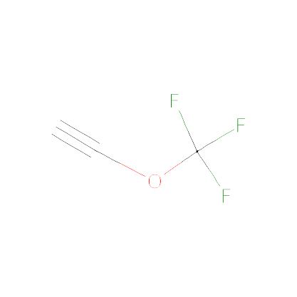 C#COC(F)(F)F